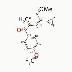 C=C(/C=C(\COC)C1CC1)C(=O)c1ccc(OC(F)(F)F)cc1